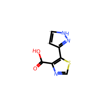 O=C(O)c1ncsc1-c1[c][c][nH]n1